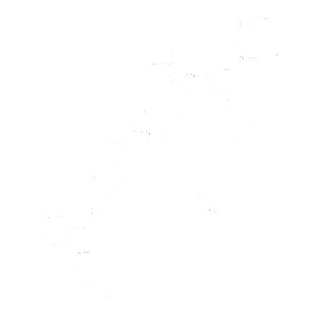 Cl.Cl.O=C(NS(=O)(=O)c1ccc(NC(CCN2C[C@H]3CCC[C@H]3C2)CSc2ccccc2)c([N+](=O)[O-])c1)c1ccc2c(c1)cc1n2CCN(Cc2ccccc2-c2ccc(Cl)cc2)C1